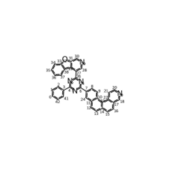 c1ccc(-c2nc(-c3ccc4c(ccc5ccc6cnccc6c54)c3)nc(-c3cncc4oc5ccccc5c34)n2)cc1